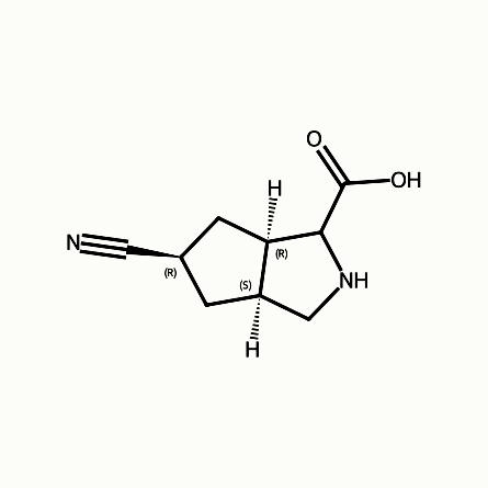 N#C[C@@H]1C[C@@H]2CNC(C(=O)O)[C@@H]2C1